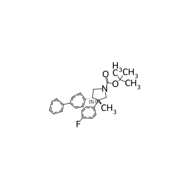 CC(C)(C)OC(=O)N1C[C@@H](c2ccc(-c3ccccc3)cc2)[C@@](C)(c2ccc(F)cc2)C1